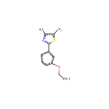 Cc1nc(-c2cccc(OCC(=O)O)c2)sc1C